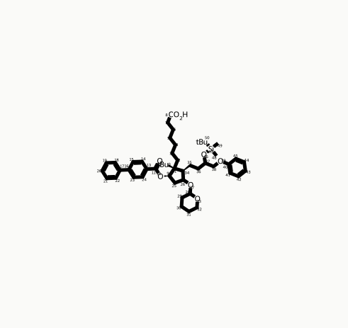 CCCC[C@]1(CCCCCCC(=O)O)[C@@H](OC(=O)c2ccc(-c3ccccc3)cc2)CC(OC2CCCCO2)[C@@H]1CCC(COc1ccccc1)O[Si](C)(C)C(C)(C)C